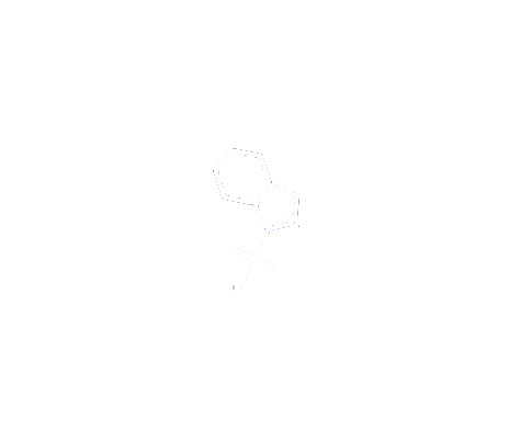 CC(C)S(=O)(=O)n1ncc2cc[c]cc21